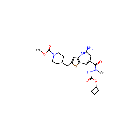 CCCN(NC(=O)OC1CCC1)C(=O)C1=Cc2sc(CC3CCN(C(=O)OC(C)(C)C)CC3)cc2N=C(N)C1